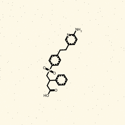 Nc1ccc(CCc2ccc(S(=O)(=O)CC(CC(=O)O)c3ccccc3)cc2)cn1